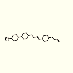 C=CCCC1CCC(C=CCCC2CCC(C3CCC(CC)CC3)CC2)CC1